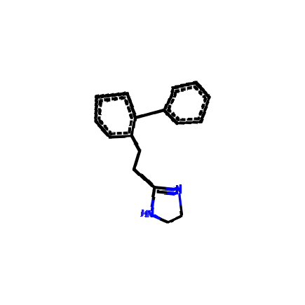 c1ccc(-c2ccccc2CCC2=NCCN2)cc1